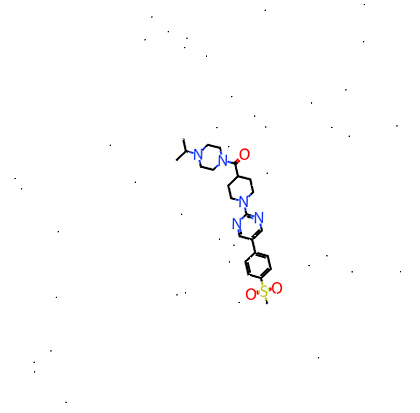 CC(C)N1CCN(C(=O)C2CCN(c3ncc(-c4ccc(S(C)(=O)=O)cc4)cn3)CC2)CC1